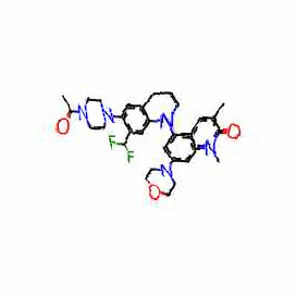 CC(=O)N1CCN(c2cc3c(cc2C(F)F)N(c2cc(N4CCOCC4)cc4c2cc(C)c(=O)n4C)CCC3)CC1